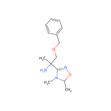 CC1ON=C(C(C)(N)COCc2ccccc2)N1C